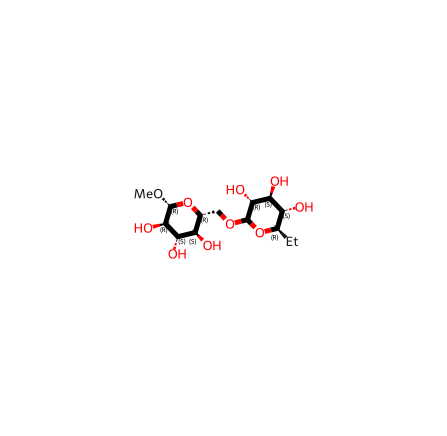 CC[C@H]1OC(OC[C@H]2O[C@@H](OC)[C@H](O)[C@@H](O)[C@@H]2O)[C@H](O)[C@@H](O)[C@@H]1O